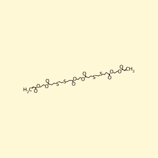 C=CC(=O)OCCOC(=O)CCSCCSCCC(=O)OCCOC(=O)CCSCCSCCC(=O)OCCOC(=O)C=C